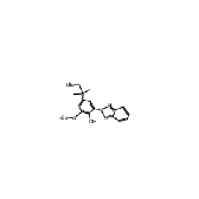 CCCCOc1cc(C(C)(C)CC(C)(C)C)cc(-n2nc3ccccc3n2)c1O